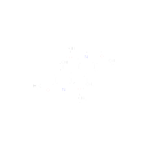 COc1cc(C)c(-c2c(C)cc(OC)nc2OC)c(OC)n1